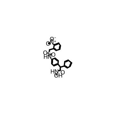 O=C(NO)C(c1ccccc1)c1ccc(NS(=O)(=O)Cc2ccccc2[N+](=O)[O-])cc1